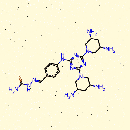 NC(=S)NN=Cc1ccc(Nc2nc(N3C[C@H](N)C[C@H](N)C3)nc(N3C[C@H](N)C[C@H](N)C3)n2)cc1